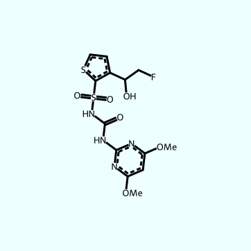 COc1cc(OC)nc(NC(=O)NS(=O)(=O)c2sccc2C(O)CF)n1